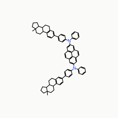 CC12CCCC1C1CCc3cc(-c4ccc(N(c5ccccc5)c5cc6ccc7cc(N(c8ccccc8)c8ccc(-c9ccc%10c(c9)CCC9C%10CCC%10(C)CCCC9%10)cc8)cc8ccc(c5)c6c78)cc4)ccc3C1CC2